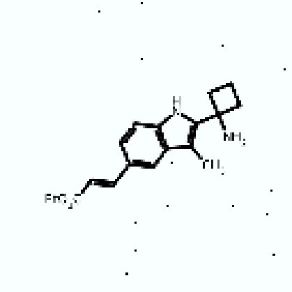 CCOC(=O)/C=C/c1ccc2[nH]c(C3(N)CCC3)c(C)c2c1